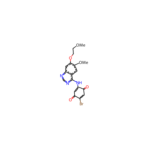 COCCOc1cc2ncnc(NC3=CC(=O)C(Br)=CC3=O)c2cc1OC